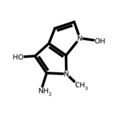 Cn1c(N)c(O)c2ccn(O)c21